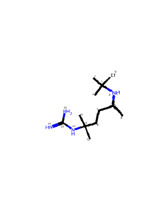 CCC(C)(C)NC(C)CCC(C)(C)NC(=N)N